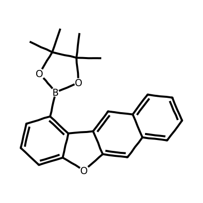 CC1(C)OB(c2cccc3oc4cc5ccccc5cc4c23)OC1(C)C